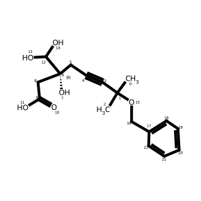 CC(C)(C#CC[C@@](O)(CC(=O)O)C(O)O)OCc1ccccc1